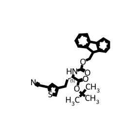 CC(C)(C)OC(=O)[C@H](CCc1csc(C#N)c1)NC(=O)OCC1c2ccccc2-c2ccccc21